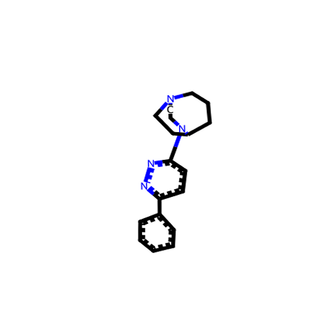 c1ccc(-c2ccc(N3CCN4CCCC3CC4)nn2)cc1